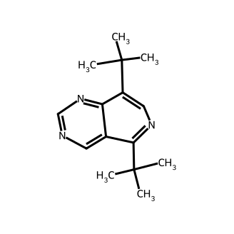 CC(C)(C)c1ncc(C(C)(C)C)c2ncncc12